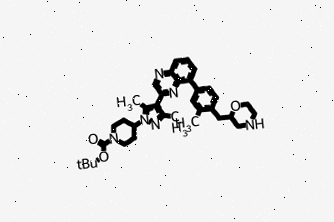 Cc1cc(-c2cccc3ncc(-c4c(C)nn(C5CCN(C(=O)OC(C)(C)C)CC5)c4C)nc23)ccc1CC1CNCCO1